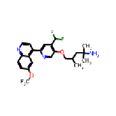 CC(COc1cnc(-c2ccnc3ccc(OC(F)(F)F)cc23)cc1C(F)F)CC(C)(C)N